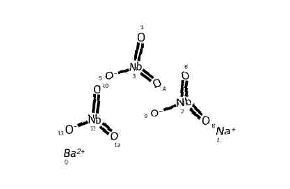 [Ba+2].[Na+].[O]=[Nb](=[O])[O-].[O]=[Nb](=[O])[O-].[O]=[Nb](=[O])[O-]